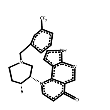 C[C@@H]1CCN(Cc2cccc(C(F)(F)F)c2)C[C@@H]1n1ccc(=O)c2cnc3[nH]ccc3c21